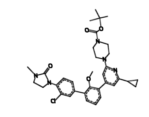 COc1c(-c2cc(C3CC3)nc(N3CCN(C(=O)OC(C)(C)C)CC3)c2)cccc1-c1ccc(N2CCN(C)C2=O)c(Cl)c1